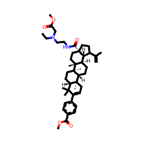 C=C(C)C1CC[C@]2(C(=O)NCCN(CC)CC(=O)OC)CC[C@]3(C)[C@H](CC[C@@H]4[C@@]5(C)CC=C(c6ccc(C(=O)OC)cc6)C(C)(C)[C@@H]5CC[C@]43C)[C@@H]12